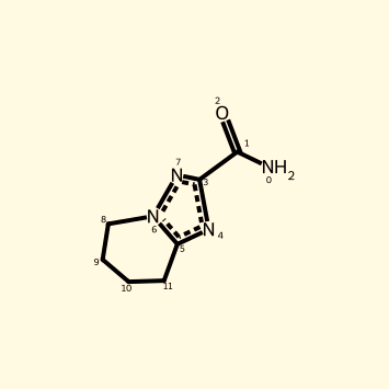 NC(=O)c1nc2n(n1)CCCC2